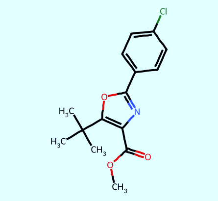 COC(=O)c1nc(-c2ccc(Cl)cc2)oc1C(C)(C)C